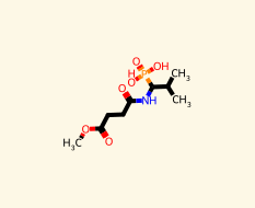 COC(=O)CCC(=O)NC(C(C)C)P(=O)(O)O